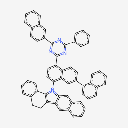 c1ccc(-c2nc(-c3ccc4ccccc4c3)nc(-c3ccc(-n4c5c(c6cc7ccccc7cc64)CCc4ccccc4-5)c4cc(-c5cccc6ccccc56)ccc34)n2)cc1